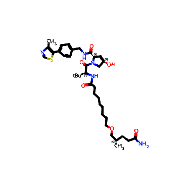 Cc1ncsc1-c1ccc(CNC(=O)[C@@H]2C[C@@H](O)CN2C(=O)[C@@H](NC(=O)CCCCCCCCOC[C@@H](C)CCC(N)=O)C(C)(C)C)cc1